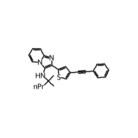 CCCC(C)(C)Nc1c(-c2cc(C#Cc3ccccc3)cs2)nc2ccccn12